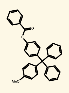 COc1ccc(C(c2ccccc2)(c2ccccc2)c2ccc(OC(=O)c3ccccc3)cc2)cc1